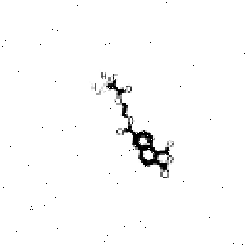 C=C(C)C(=O)OCCOC(=O)c1ccc2c3c(ccc2c1)C(=O)OC3=O